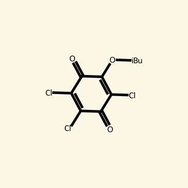 CCC(C)OC1=C(Cl)C(=O)C(Cl)=C(Cl)C1=O